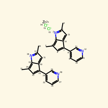 CC1=NC2=C(C)C=C(c3cccnc3)C2=C1.CC1=NC2=C(C)C=C(c3cccnc3)C2=C1.[Cl-].[Cl-].[Zr+2]